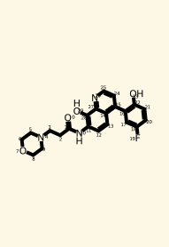 O=C(CCN1CCOCC1)Nc1ccc2c(-c3cc(F)ccc3O)ccnc2c1O